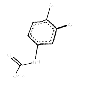 COC(=O)Nc1ccc(C(C)=O)c(C(C)=O)c1